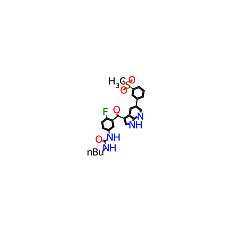 CCCCNC(=O)Nc1ccc(F)c(C(=O)c2c[nH]c3ncc(-c4cccc(S(C)(=O)=O)c4)cc23)c1